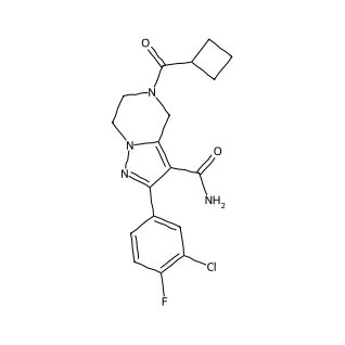 NC(=O)c1c(-c2ccc(F)c(Cl)c2)nn2c1CN(C(=O)C1CCC1)CC2